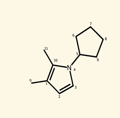 Cc1ccn(C2CCCC2)c1C